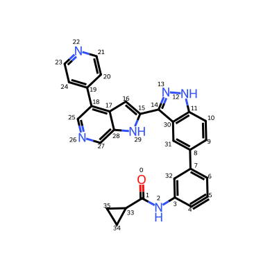 O=C(Nc1c#ccc(-c2ccc3[nH]nc(-c4cc5c(-c6ccncc6)cncc5[nH]4)c3c2)c1)C1CC1